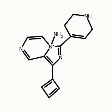 N[N+]12C=CN=CC1=C(C1=CC=C1)N=C2C1=CCNCC1